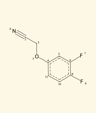 N#CCOc1[c]c(F)c(F)cc1